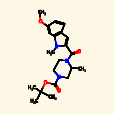 COc1ccc2cc(C(=O)N3CCN(C(=O)OC(C)(C)C)CC3C)n(C)c2c1